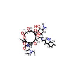 CC[C@H]1OC(=O)[C@H](C)C(=O)[C@H](C)[C@@H](O[C@@H]2O[C@H](C)C[C@H](N(C)C)[C@H]2O)[C@](C)(OC/C=C/c2cnc3ccccc3c2)C[C@@H](C)C(=O)[C@H](C)[C@H]2N(C[C@H]3CCCN3CC)C(=O)O[C@]12C